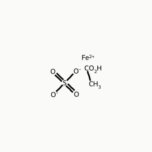 CC(=O)O.O=S(=O)([O-])[O-].[Fe+2]